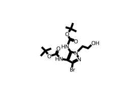 CC(C)(C)OC(=O)Nc1c(Br)nn(CCO)c1NC(=O)OC(C)(C)C